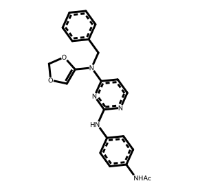 CC(=O)Nc1ccc(Nc2nccc(N(Cc3ccccc3)C3=COCO3)n2)cc1